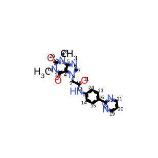 Cn1c(=O)c2c(ncn2CC(=O)Nc2ccc(-c3ncccn3)cc2)n(C)c1=O